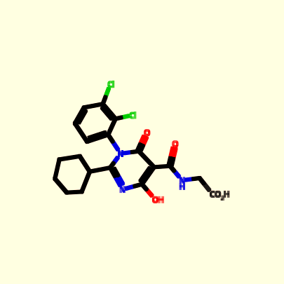 O=C(O)CNC(=O)c1c(O)nc(C2CCCCC2)n(-c2cccc(Cl)c2Cl)c1=O